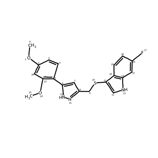 COc1ccc(-c2cc(CSc3c[nH]c4cc(F)ccc34)n[nH]2)c(OC)c1